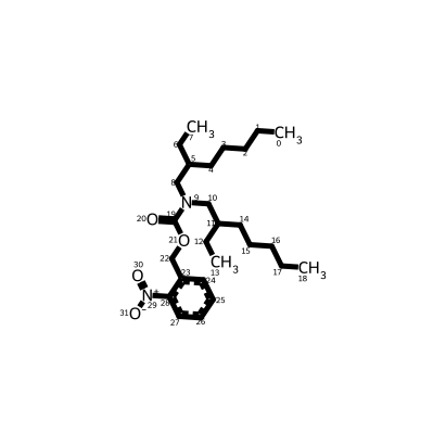 CCCCCC(CC)CN(CC(CC)CCCCC)C(=O)OCc1ccccc1[N+](=O)[O-]